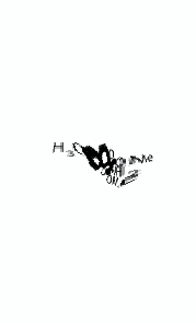 COC(=O)C(N)(C(=O)OC)C1CCCc2cc(C)ccc2C1